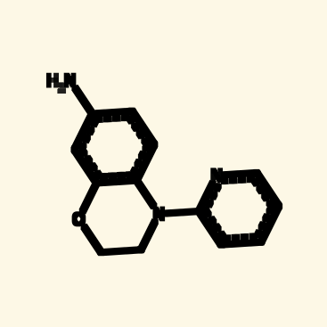 Nc1ccc2c(c1)OCCN2c1ccccn1